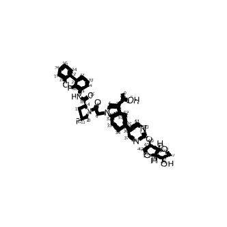 CC(O)c1cn(CC(=O)N2C[C@H](F)C[C@H]2C(=O)Nc2cccc(-c3ccccc3Cl)c2F)c2ccc(-c3cnc(O[C@@H]4CO[C@H]5[C@@H]4OC[C@H]5O)nc3)cc12